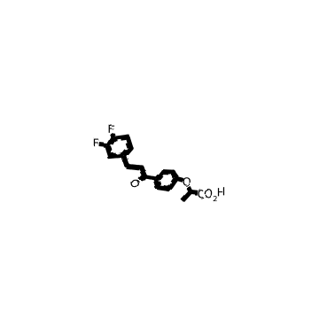 CC(Oc1ccc(C(=O)/C=C/c2ccc(F)c(F)c2)cc1)C(=O)O